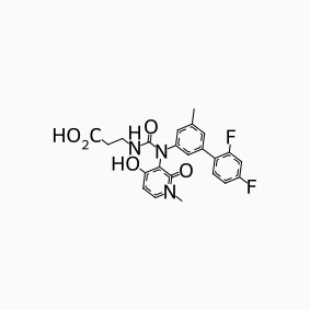 Cc1cc(-c2ccc(F)cc2F)cc(N(C(=O)NCCC(=O)O)c2c(O)ccn(C)c2=O)c1